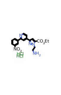 CCOC(=O)c1cc(-c2ccnc(-c3cccc([N+](=O)[O-])c3)c2)nn1CCN.Cl.Cl